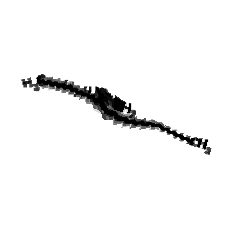 CCCCCCCCCCCCCCCCCCCCCCC(CCCCCCCCCCCCCCCCCC)C(N)N